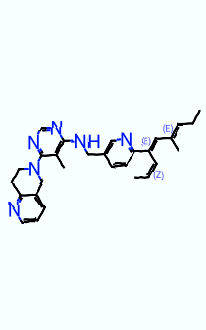 C\C=C/C(=C\C(C)=C\CC)c1ccc(CNc2ncnc(N3CCc4ncccc4C3)c2C)cn1